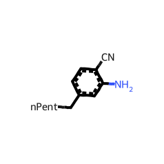 CCCCCCc1ccc(C#N)c(N)c1